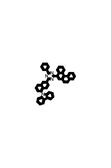 c1ccc(-c2nc(-c3ccc4c(-n5c6ccccc6c6ccccc65)cccc4c3)nc(-c3cc4ccc5ccccc5c4c4ccccc34)n2)cc1